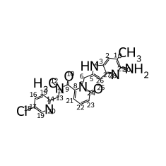 Cc1cc2[nH]c(Cn3c(C(=O)N(C)Cc4ccc(Cl)cn4)cccc3=O)cc2nc1N